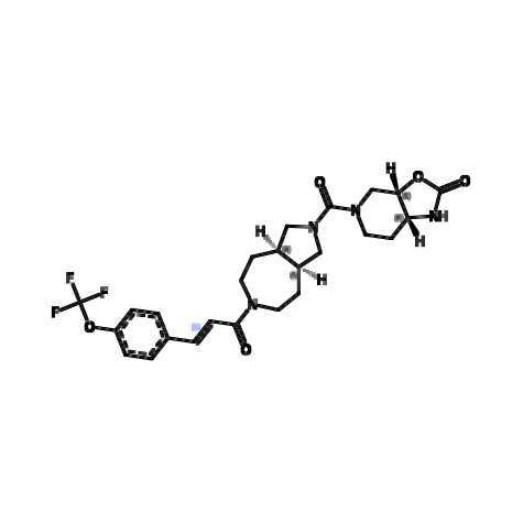 O=C1N[C@@H]2CCN(C(=O)N3C[C@H]4CCN(C(=O)/C=C/c5ccc(OC(F)(F)F)cc5)CC[C@H]4C3)C[C@@H]2O1